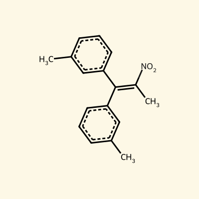 CC(=C(c1cccc(C)c1)c1cccc(C)c1)[N+](=O)[O-]